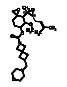 COC1C(OC(=O)N2CC3(CC(CN4CCOCC4)C3)C2)CCC2(CO2)C1[C@@]1(C)O[C@@H]1CC=C(C)C